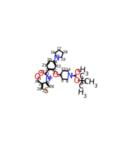 CC(C)(C)OC(=O)N1CCC(Oc2cc(N3CCCC3)ccc2C2=Nc3cscc3COO2)CC1